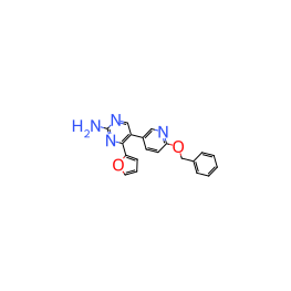 Nc1ncc(-c2ccc(OCc3ccccc3)nc2)c(-c2ccco2)n1